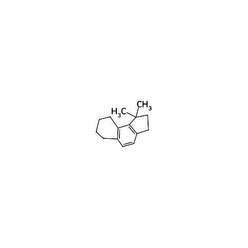 CC1(C)CCc2ccc3c(c21)CCCC3